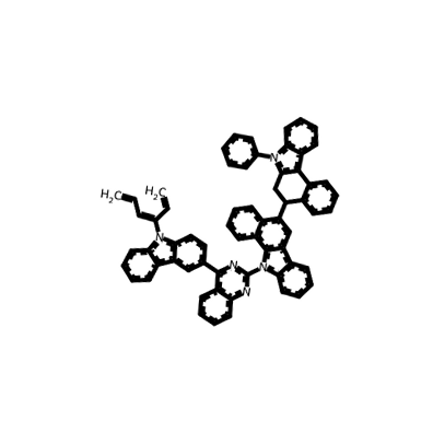 C=C/C=C(\C=C)n1c2ccccc2c2cc(-c3nc(-n4c5ccccc5c5cc(C6Cc7c(c8ccccc8n7-c7ccccc7)-c7ccccc76)c6ccccc6c54)nc4ccccc34)ccc21